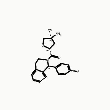 N#C[C@@]1(N)CO[C@@H](C(=O)N2CCc3ccccc3[C@@H]2c2ccc(F)cc2)C1